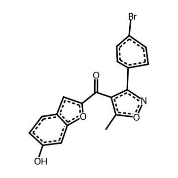 Cc1onc(-c2ccc(Br)cc2)c1C(=O)c1cc2ccc(O)cc2o1